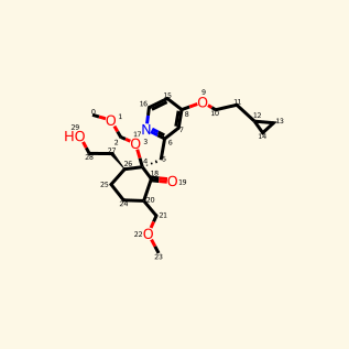 COCO[C@@]1(Cc2cc(OCCC3CC3)ccn2)C(=O)C(COC)CC[C@H]1CCO